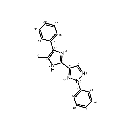 Cc1[nH]c(-c2cnn(-c3ccccc3)n2)nc1-c1ccccc1